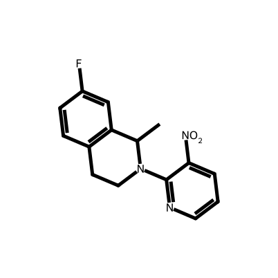 CC1c2cc(F)ccc2CCN1c1ncccc1[N+](=O)[O-]